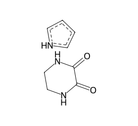 O=C1NCCNC1=O.c1cc[nH]c1